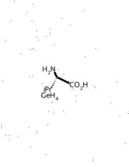 CC(C)[C@H](N)C(=O)O.[GeH4]